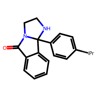 CC(C)c1ccc(C23NCCN2C(=O)c2ccccc23)cc1